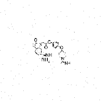 CC(=N)N1CCC(Oc2ccc(OC(=O)Cn3c(=O)oc4ccc(C(=N)N)cc43)cc2)CC1